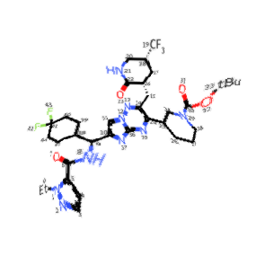 CCn1nccc1C(=O)N[C@H](c1cn2nc(C[C@H]3C[C@@H](C(F)(F)F)CNC3=O)c(C3CCCN(C(=O)OC(C)(C)C)C3)nc2n1)C1CCC(F)(F)CC1